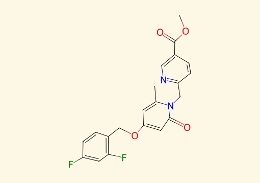 COC(=O)c1ccc(Cn2c(C)cc(OCc3ccc(F)cc3F)cc2=O)nc1